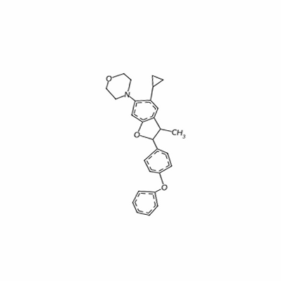 CC1c2cc(C3CC3)c(N3CCOCC3)cc2OC1c1ccc(Oc2ccccc2)cc1